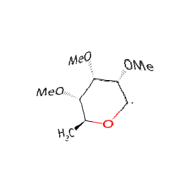 CO[C@@H]1[C@H](OC)[C@H](OC)[CH]O[C@H]1C